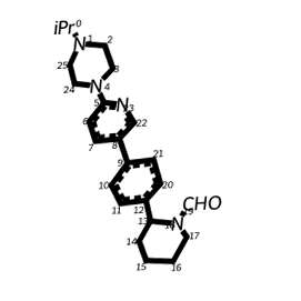 CC(C)N1CCN(c2ccc(-c3ccc(C4CCCCN4C=O)cc3)cn2)CC1